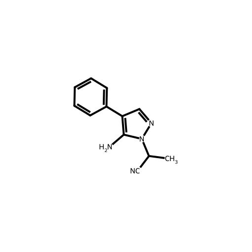 CC(C#N)n1ncc(-c2ccccc2)c1N